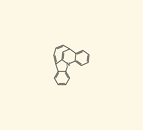 C1=CC2C=c3c(c4ccccc4n3-c3ccccc32)=C1